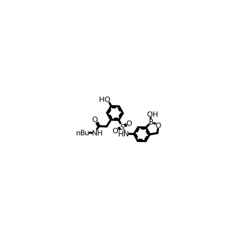 CCCCNC(=O)Cc1cc(O)ccc1S(=O)(=O)Nc1ccc2c(c1)B(O)OC2